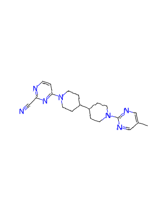 Cc1cnc(N2CCC(C3CCN(c4ccnc(C#N)n4)CC3)CC2)nc1